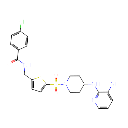 Nc1cccnc1NC1CCN(S(=O)(=O)c2ccc(CNC(=O)c3ccc(Cl)cc3)s2)CC1